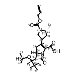 C=CCOC(=O)N1CC(C2=C(C(=O)O)N3C(=O)[C@H]([C@@](C)(O[SiH](C)C)C(C)(C)C)[C@H]3C2)C[C@H]1C